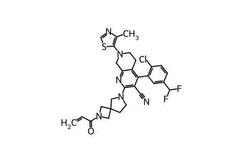 C=CC(=O)N1CC2(CCN(c3nc4c(c(-c5cc(C(F)F)ccc5Cl)c3C#N)CCN(c3scnc3C)C4)C2)C1